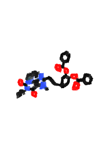 CCCn1c(=O)c2c(nc(C=Cc3ccc(OC(=O)c4ccccc4)c(OC(=O)c4ccccc4)c3)n2C)n(CCC)c1=O